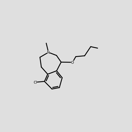 CCCCOC1CN(C)CCc2c(Cl)cccc21